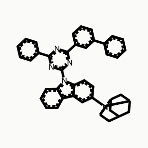 c1ccc(-c2cccc(-c3nc(-c4ccccc4)nc(-n4c5ccccc5c5cc(N6C7CC8CC(C7)CC6C8)ccc54)n3)c2)cc1